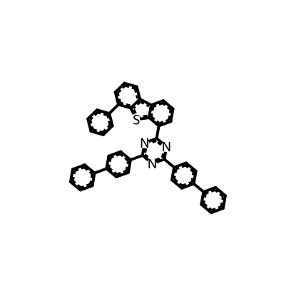 c1ccc(-c2ccc(-c3nc(-c4ccc(-c5ccccc5)cc4)nc(-c4cccc5c4sc4c(-c6ccccc6)cccc45)n3)cc2)cc1